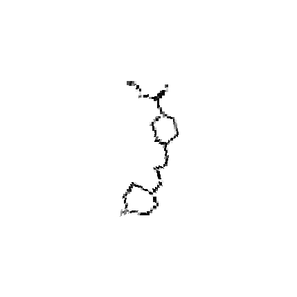 CC(C)(C)OC(=O)N1CCC(CCCC2CCNCC2)CC1